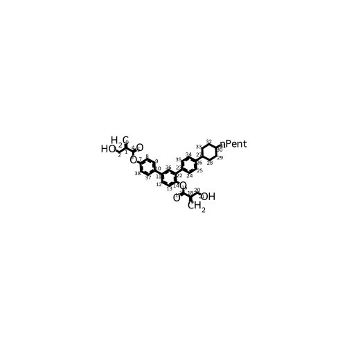 C=C(CO)C(=O)Oc1ccc(-c2ccc(OC(=O)C(=C)CO)c(-c3ccc(C4CCC(CCCCC)CC4)cc3)c2)cc1